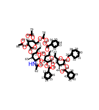 CCC1O[C@@H](O[C@@H]2C(OC(=O)c3ccccc3)[C@H](O[C@@H]3C(CC)O[C@@H](OCc4ccccc4)C(OC(=O)c4ccccc4)[C@H]3C)OC(COC(=O)c3ccccc3)[C@@H]2O)C(NC(C)=O)[C@@H](C)[C@@H]1O[C@@H]1OC(COC(C)=O)[C@H](OC(C)=O)[C@H](C)C1OC(C)=O